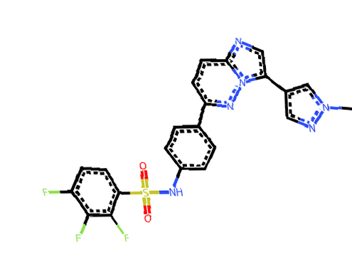 Cn1cc(-c2cnc3ccc(-c4ccc(NS(=O)(=O)c5ccc(F)c(F)c5F)cc4)nn23)cn1